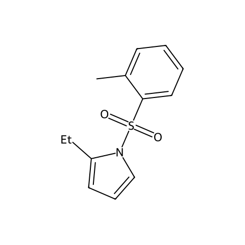 CCc1cccn1S(=O)(=O)c1ccccc1C